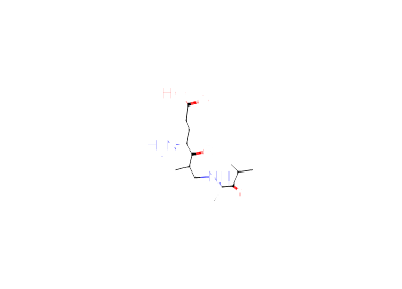 CC(C)C(=O)[C@@H](C)NCC(C)C(=O)[C@@H](N)CCC(=O)O